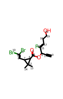 C#CC(OC(=O)C1C(C=C(Br)Br)C1(C)C)C(F)=CCCO